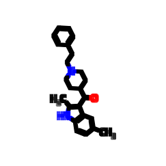 Cc1ccc2[nH]c(C)c(C(=O)C3CCN(CCc4ccccc4)CC3)c2c1